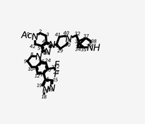 CC(=O)N1CCc2c(c(N3CCCc4cc(-c5cnn(C)c5)c(C(F)F)cc43)nn2C2CCN(CC3CC4CC3CN4)CC2)C1